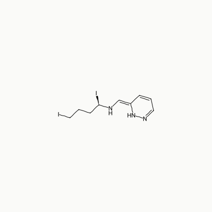 ICCC[C@@H](I)N/C=C1/C=CC=NN1